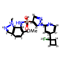 COc1ccc2cnn(C)c2c1NS(=O)(=O)c1cnn(-c2cc(C3(F)CCC3)ccn2)c1